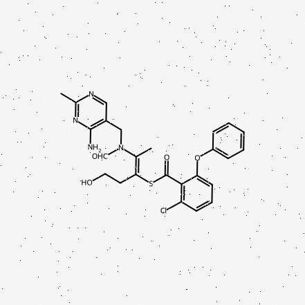 CC(=C(CCO)SC(=O)c1c(Cl)cccc1Oc1ccccc1)N(C=O)Cc1cnc(C)nc1N